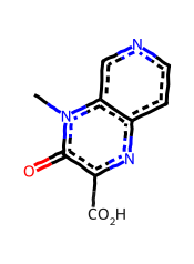 Cn1c(=O)c(C(=O)O)nc2ccncc21